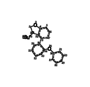 CC(C)(C)[P@@]1COc2cccc(-c3ccccc3Oc3ccccc3)c21